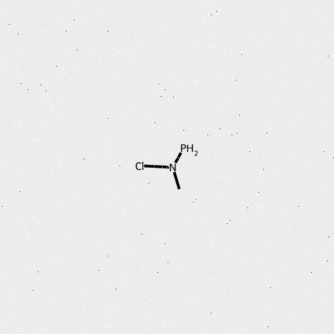 CN(P)Cl